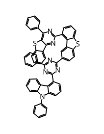 c1ccc(-c2nc(-c3ccc4sc5cccc(-c6nc(-c7ccccc7)c7sc8ccccc8c7n6)c5c4c3)nc(-c3cccc4c3c3ccccc3n4-c3ccccc3)n2)cc1